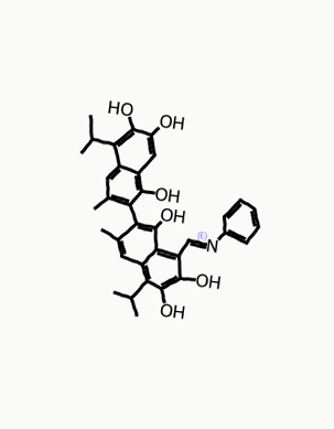 Cc1cc2c(C(C)C)c(O)c(O)cc2c(O)c1-c1c(C)cc2c(C(C)C)c(O)c(O)c(/C=N/c3ccccc3)c2c1O